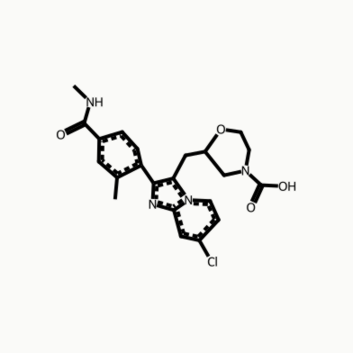 CNC(=O)c1ccc(-c2nc3cc(Cl)ccn3c2CC2CN(C(=O)O)CCO2)c(C)c1